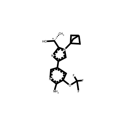 C[C@@H](O)c1nc(-c2cnc(N)c(OC(F)(F)F)c2)cn1C12CC(C1)C2